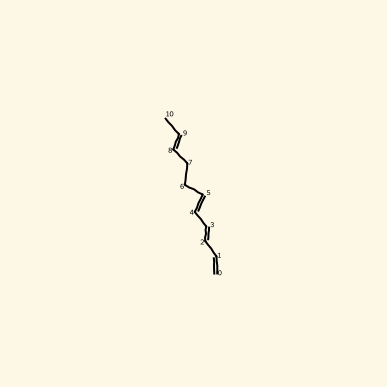 C=C/C=C/C=C/CC/C=C/C